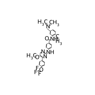 CCN(CC)Cc1ccc(C)c(NC(=O)c2ccc(Nc3ncc(OC)c(-c4ccc(OC(F)(F)F)cc4)n3)cc2)c1